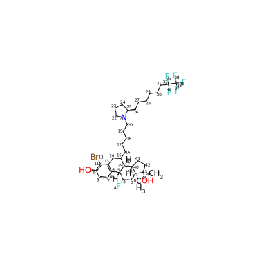 C[C@]12C[C@H](F)[C@@H]3c4ccc(O)c(Br)c4CC(CCCCCN4CCC[C@H]4CCCCCCC(F)(F)C(F)(F)F)[C@H]3[C@@H]1CC[C@@]2(C)O